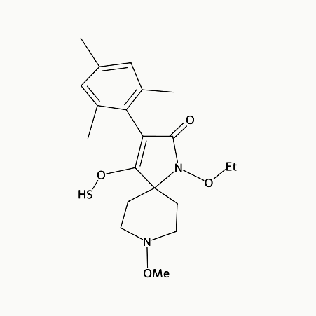 CCON1C(=O)C(c2c(C)cc(C)cc2C)=C(OS)C12CCN(OC)CC2